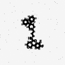 O=C(NCCCN1CCC(c2ccccc2)(c2ccccc2)CC1)N1CCOCC1c1ccc(F)c(F)c1